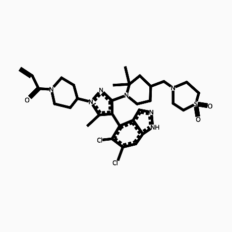 C=CC(=O)N1CCC(n2nc(N3CCC(CN4CCS(=O)(=O)CC4)CC3(C)C)c(-c3c(Cl)c(Cl)cc4[nH]ncc34)c2C)CC1